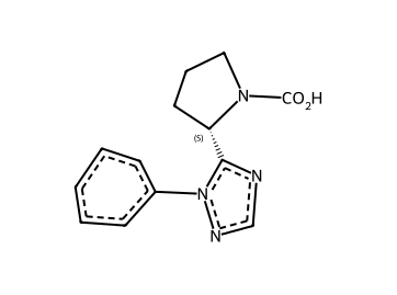 O=C(O)N1CCC[C@H]1c1ncnn1-c1ccccc1